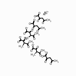 CC(=O)C(C)C(=O)C(=O)[O-].CC(=O)C(C)C(=O)C(=O)[O-].CC(=O)C(C)C(=O)C(=O)[O-].CC(=O)CC(=O)C(=O)[O-].CC(=O)CC(=O)C(=O)[O-].CC(=O)CC(=O)C(=O)[O-].[Al+3].[Al+3]